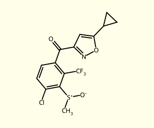 C[S+]([O-])c1c(Cl)ccc(C(=O)c2cc(C3CC3)on2)c1C(F)(F)F